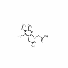 COc1c(C)cc(OCC(=O)O)c(CC(=O)O)c1C